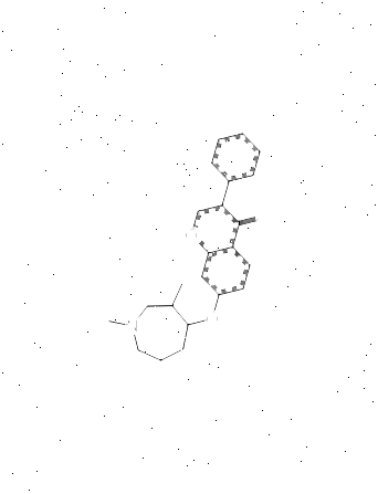 CC1CN(C)CCCC1Oc1ccc2c(=O)c(-c3ccccc3)coc2c1